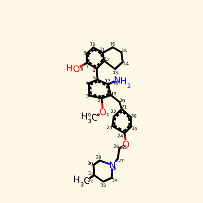 COc1ccc(-c2c(O)ccc3c2CCCC3)c(N)c1Cc1ccc(OCCN2CCC(C)CC2)cc1